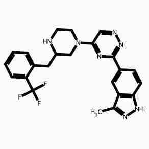 Cc1n[nH]c2ccc(-c3nncc(N4CCNC(Cc5ccccc5C(F)(F)F)C4)n3)cc12